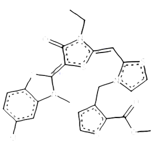 CCn1c(=O)/c(=C2\Sc3ccc(Cl)cc3N2C)s/c1=C\c1scc[n+]1Cc1ccsc1C(=O)OC